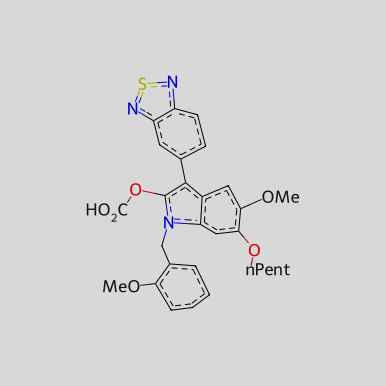 CCCCCOc1cc2c(cc1OC)c(-c1ccc3nsnc3c1)c(OC(=O)O)n2Cc1ccccc1OC